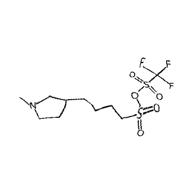 CN1CCC(CCCCS(=O)(=O)OS(=O)(=O)C(F)(F)F)C1